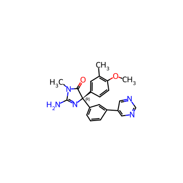 COc1ccc([C@@]2(c3cccc(-c4cncnc4)c3)N=C(N)N(C)C2=O)cc1C